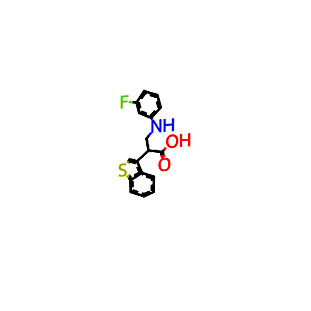 O=C(O)C(CNc1cccc(F)c1)c1csc2ccccc12